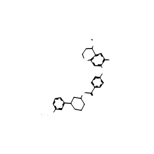 COc1cccc(C2CCCC(NC(=O)c3ccc(Oc4cc5c(cc4Cl)C(OC(=O)O)CCO5)cc3)C2)c1